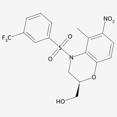 Cc1c([N+](=O)[O-])ccc2c1N(S(=O)(=O)c1cccc(C(F)(F)F)c1)C[C@H](CO)O2